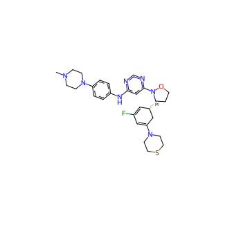 CN1CCN(c2ccc(Nc3cc(N4OCC[C@@H]4C4C=C(F)C=C(N5CCSCC5)C4)ncn3)cc2)CC1